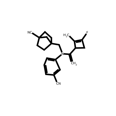 C=C(C1CC(F)=C1C)N(CC12CCC(C#N)(CC1)C2)c1cccc(C#N)c1